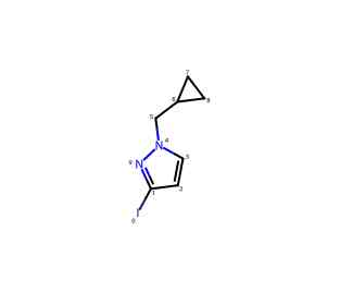 Ic1ccn(CC2CC2)n1